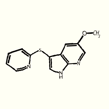 COc1cnc2[nH]cc(Sc3ccccn3)c2c1